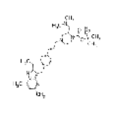 CCc1nn2c(C)cc(C)nc2c1Cc1ccc(C=CCN2CCN(C(=O)OC(C)(C)C)C(CN(C)C)C2)cc1